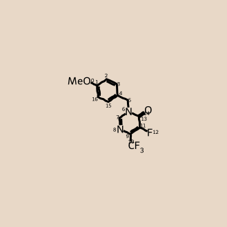 COc1ccc(Cn2cnc(C(F)(F)F)c(F)c2=O)cc1